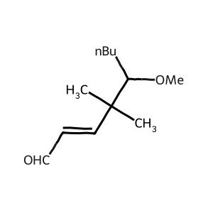 CCCCC(OC)C(C)(C)/C=C/C=O